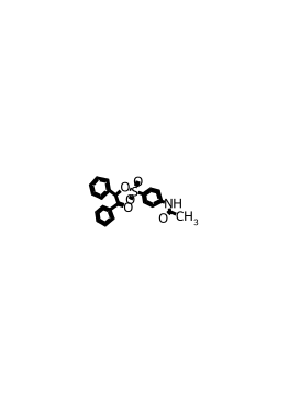 CC(=O)Nc1ccc(S(=O)(=O)OC(C(=O)c2ccccc2)c2ccccc2)cc1